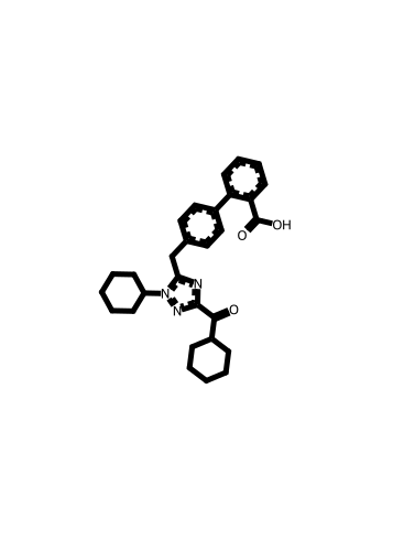 O=C(O)c1ccccc1-c1ccc(Cc2nc(C(=O)C3CCCCC3)nn2C2CCCCC2)cc1